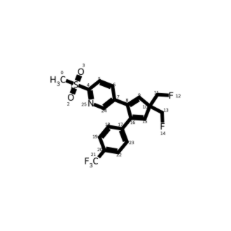 CS(=O)(=O)c1ccc(C2=CC(CF)(CF)C=C2c2ccc(C(F)(F)F)cc2)cn1